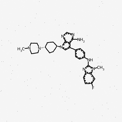 CN1CCN([C@H]2CC[C@H](n3cc(-c4ccc(Nc5nc6ccc(F)cc6n5C)cc4)c4c(N)ncnc43)CC2)CC1